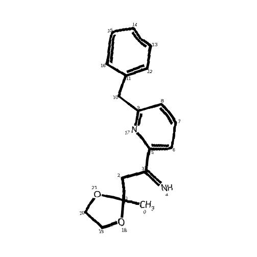 CC1(CC(=N)c2cccc(Cc3ccccc3)n2)OCCO1